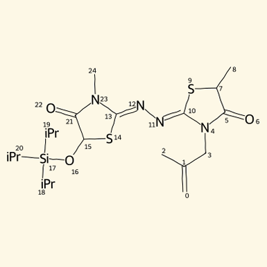 C=C(C)CN1C(=O)C(C)SC1=NN=C1SC(O[Si](C(C)C)(C(C)C)C(C)C)C(=O)N1C